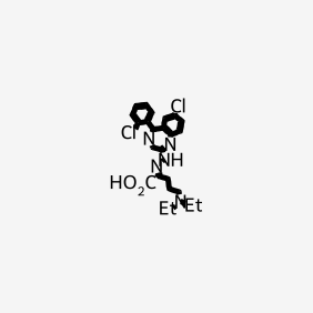 CCN(CC)CCC/C(=N\NC1=Nc2ccc(Cl)cc2C(c2ccccc2Cl)=NC1)C(=O)O